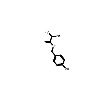 CC(O)C(=O)NCc1ccc(O)cc1